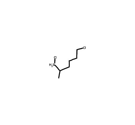 CC(CCCCCl)[SiH2]Cl